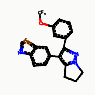 FC(F)(F)Oc1cccc(-c2nn3c(c2-c2ccc4ncsc4c2)CCC3)c1